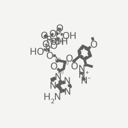 COc1ccc(C(=O)O[C@@H]2C[C@H](n3cnc4c(N)ncnc43)O[C@@H]2COP(=O)(O)OP(=O)(O)OP(=O)(O)O)c(C(C)N=[N+]=[N-])c1